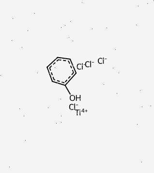 Oc1ccccc1.[Cl-].[Cl-].[Cl-].[Cl-].[Ti+4]